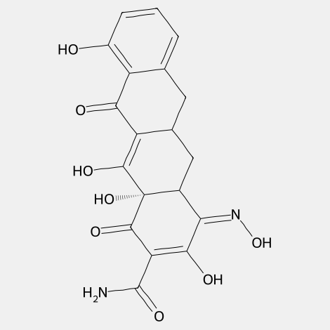 NC(=O)C1=C(O)/C(=N\O)C2CC3Cc4cccc(O)c4C(=O)C3=C(O)[C@]2(O)C1=O